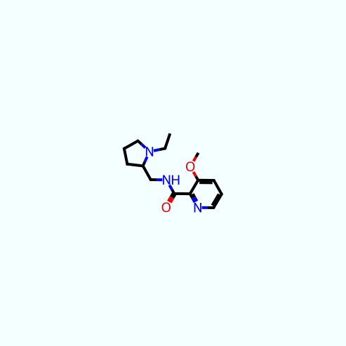 CCN1CCCC1CNC(=O)c1ncccc1OC